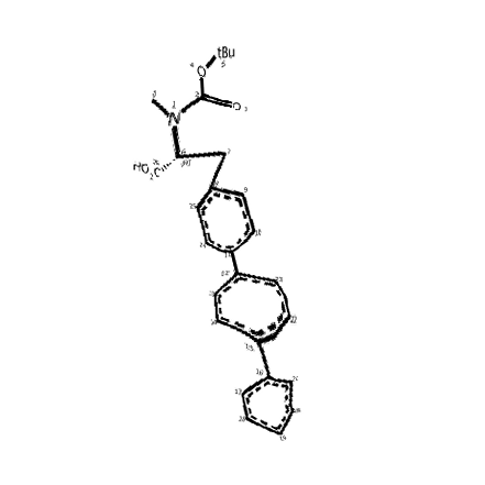 CN(C(=O)OC(C)(C)C)[C@H](Cc1ccc(-c2ccc(-c3ccccc3)cc2)cc1)C(=O)O